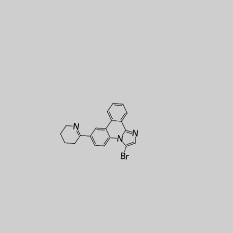 Brc1cnc2c3ccccc3c3cc(C4=NCCCC4)ccc3n12